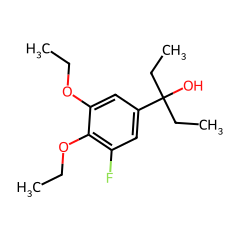 CCOc1cc(C(O)(CC)CC)cc(F)c1OCC